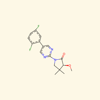 CO[C@@H]1C(=O)N(c2ncc(-c3cc(F)ccc3F)cn2)CC1(C)C